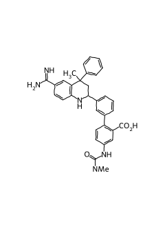 CNC(=O)Nc1ccc(-c2cccc(C3CC(C)(c4ccccc4)c4cc(C(=N)N)ccc4N3)c2)c(C(=O)O)c1